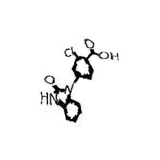 O=C(O)c1ccc(-n2c(=O)[nH]c3ccccc32)cc1Cl